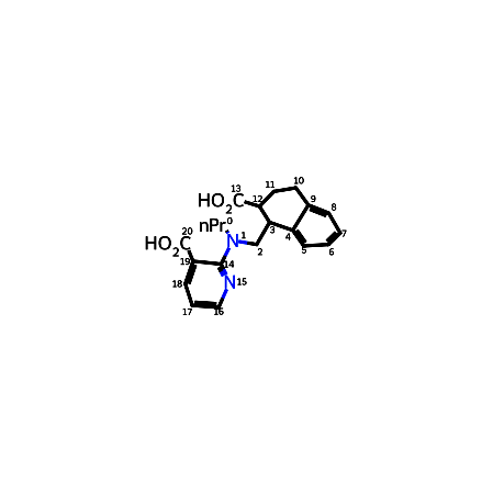 CCCN(CC1c2ccccc2CCC1C(=O)O)c1ncccc1C(=O)O